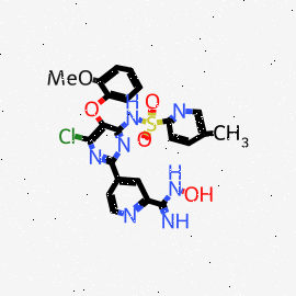 COc1ccccc1Oc1c(Cl)nc(-c2ccnc(C(=N)NO)c2)nc1NS(=O)(=O)c1ccc(C)cn1